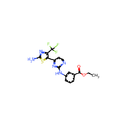 CCOC(=O)c1cccc(Nc2nccc(-c3sc(N)nc3C(F)(F)F)n2)c1